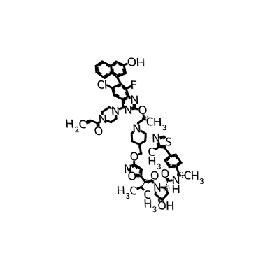 C=CC(=O)N1CCN(c2nc(O[C@H](C)CN3CCC(COc4cc([C@H](C(=O)N5C[C@H](O)C[C@H]5C(=O)N[C@@H](C)c5ccc(-c6scnc6C)cc5)C(C)C)on4)CC3)nc3c(F)c(-c4cc(O)cc5ccccc45)c(Cl)cc23)CC1